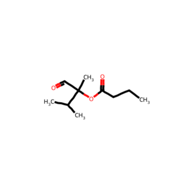 CCCC(=O)OC(C)(C=O)C(C)C